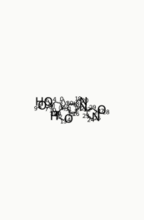 CC[C@]12CC[C@@](O)(COC)C[C@H]1CCOc1cc3c(cnn3-c3ccnc(OC)c3)cc12